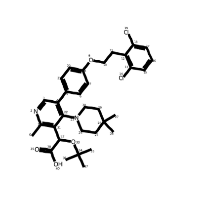 Cc1ncc(-c2ccc(OCCc3c(Cl)cccc3Cl)cc2)c(N2CCC(C)(C)CC2)c1C(OC(C)(C)C)C(=O)O